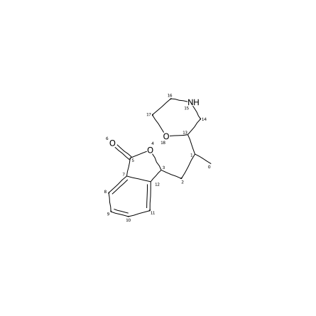 CC(CC1OC(=O)c2ccccc21)C1CNCCO1